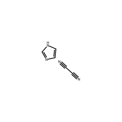 N#CC#N.c1c[nH]cn1